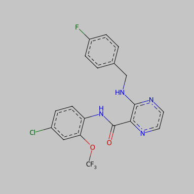 O=C(Nc1ccc(Cl)cc1OC(F)(F)F)c1nccnc1NCc1ccc(F)cc1